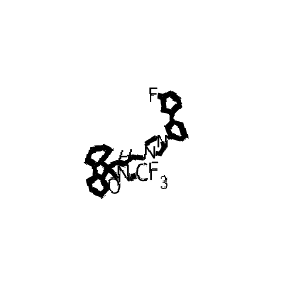 O=C(NCC(F)(F)F)C1(CCCCN2CCN(c3cccc(-c4cccc(F)c4)c3)CC2)c2ccccc2-c2ccccc21